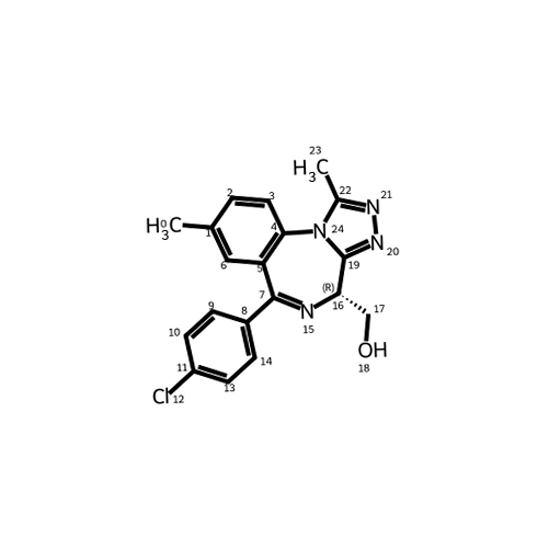 Cc1ccc2c(c1)C(c1ccc(Cl)cc1)=N[C@@H](CO)c1nnc(C)n1-2